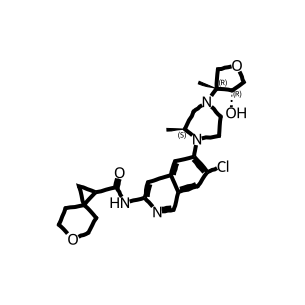 C[C@H]1CN([C@]2(C)COC[C@@H]2O)CCN1c1cc2cc(NC(=O)C3CC34CCOCC4)ncc2cc1Cl